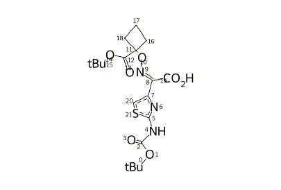 CC(C)(C)OC(=O)Nc1nc(/C(=N/OC2(C(=O)OC(C)(C)C)CCC2)C(=O)O)cs1